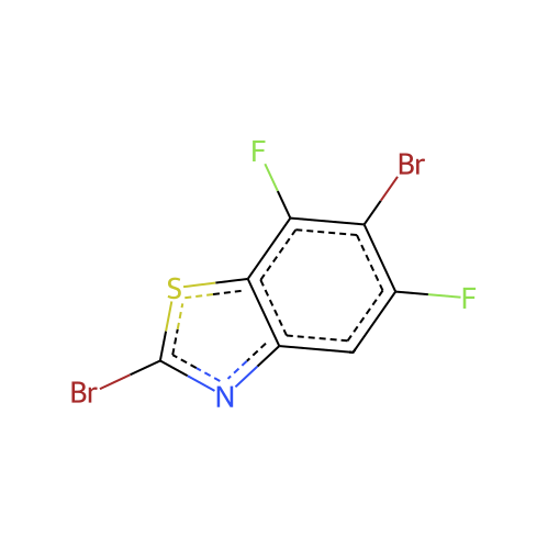 Fc1cc2nc(Br)sc2c(F)c1Br